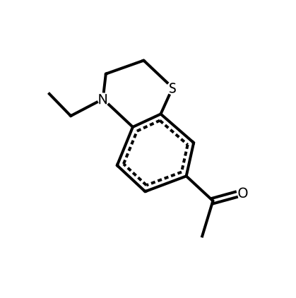 CCN1CCSc2cc(C(C)=O)ccc21